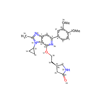 COc1ccc(-c2cc3nc(C)n(C4CC4)c3c(OCC[C@H]3CNC(=O)C3)n2)cc1OC